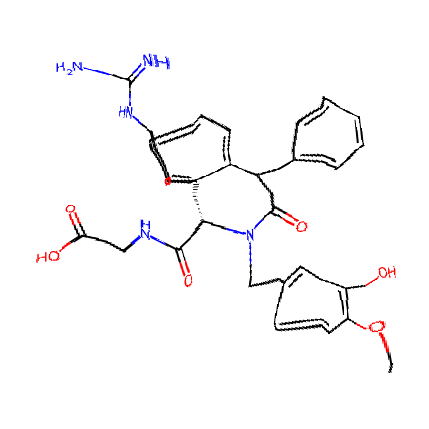 COc1ccc(CN(C(=O)C(c2ccccc2)c2ccccc2)[C@@H](CCCNC(=N)N)C(=O)NCC(=O)O)cc1O